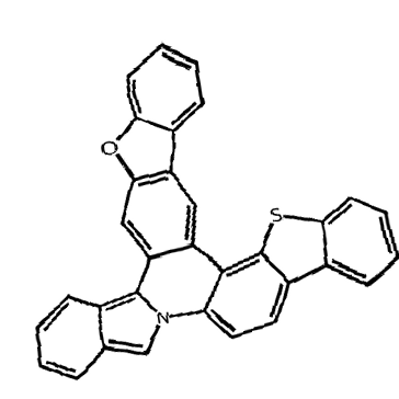 c1ccc2c(c1)cn1c3ccc4c5ccccc5sc4c3c3cc4c(cc3c21)oc1ccccc14